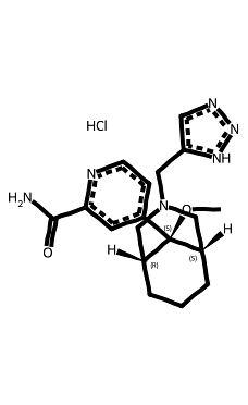 CO[C@]1(c2ccnc(C(N)=O)c2)[C@@H]2CCC[C@H]1CN(Cc1cnn[nH]1)C2.Cl